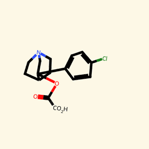 O=C(O)C(=O)OC1(c2ccc(Cl)cc2)CN2CCC1CC2